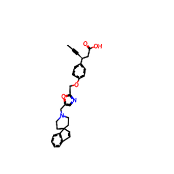 CC#C[C@@H](CC(=O)O)c1ccc(OCc2ncc(CN3CCC4(C=Cc5ccccc54)CC3)o2)cc1